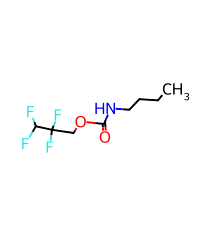 CCCCNC(=O)OCC(F)(F)C(F)F